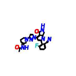 CC(=O)N[C@@H]1CCCN(c2ccn(-c3cc(-c4c(F)cccc4C#N)nc4c3C(=O)NC4)n2)C1